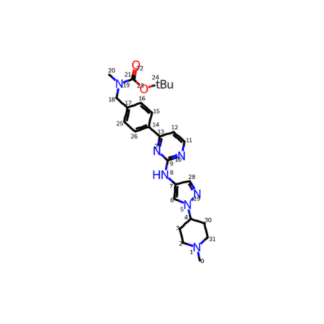 CN1CCC(n2cc(Nc3nccc(-c4ccc(CN(C)C(=O)OC(C)(C)C)cc4)n3)cn2)CC1